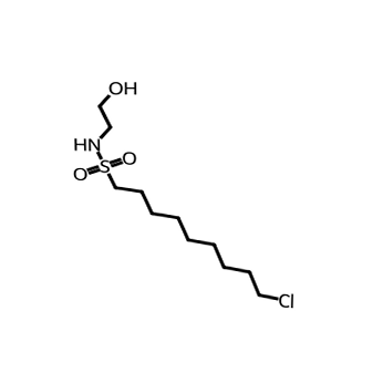 O=S(=O)(CCCCCCCCCCl)NCCO